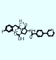 CC(C)(Cc1ccc(F)cc1)N1C(=O)[C@@H](NC(=O)c2ccc(-c3cccnc3)cc2)C[C@H]1C(=O)O